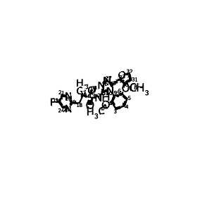 COc1cccc(OC)c1-n1c(NS(=O)(=O)[C@H](C)Cc2ncc(F)cn2)nnc1-c1ccco1